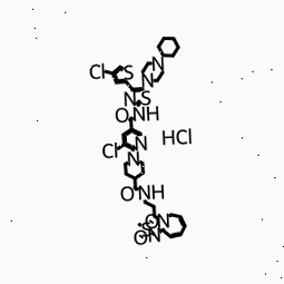 CS(=O)(=O)N=C1C=CC=CCN1CCCNC(=O)C1CCN(c2ncc(C(=O)Nc3nc(-c4cc(Cl)cs4)c(N4CCN(C5CCCCC5)CC4)s3)cc2Cl)CC1.Cl